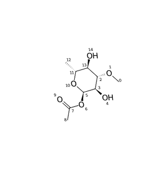 CO[C@@H]1[C@@H](O)[C@@H](OC(C)=O)O[C@H](C)[C@H]1O